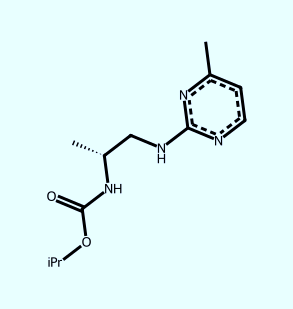 Cc1ccnc(NC[C@@H](C)NC(=O)OC(C)C)n1